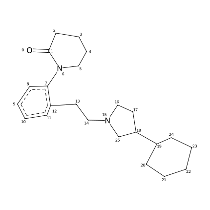 O=C1CCCCN1c1ccccc1CCN1CCC(C2CCCCC2)C1